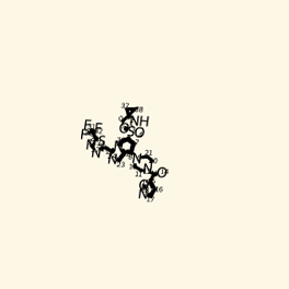 CC1(NS(=O)(=O)c2cc(N3CCN(C(=O)c4ccno4)CC3)c3cnc(-c4nnc(C(F)(F)F)s4)n3c2)CC1